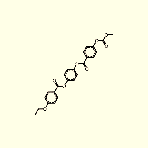 CCOc1ccc(C(=O)Oc2ccc(OC(=O)c3ccc(OC(=O)OC)cc3)cc2)cc1